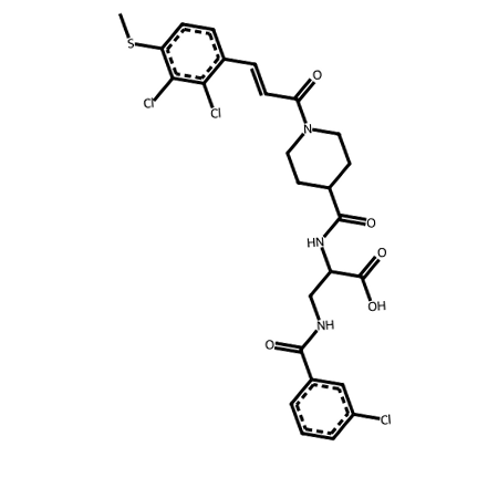 CSc1ccc(C=CC(=O)N2CCC(C(=O)NC(CNC(=O)c3cccc(Cl)c3)C(=O)O)CC2)c(Cl)c1Cl